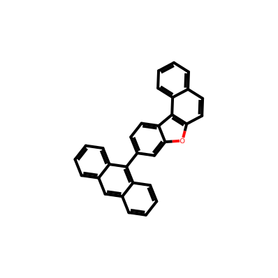 c1ccc2c(-c3ccc4c(c3)oc3ccc5ccccc5c34)c3ccccc3cc2c1